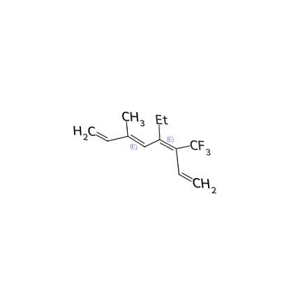 C=C/C(C)=C/C(CC)=C(\C=C)C(F)(F)F